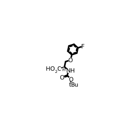 CC(C)(C)OC(=O)N[C@H](COc1cccc(F)c1)C(=O)O